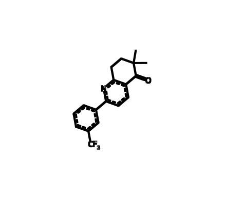 CC1(C)CCc2nc(-c3cccc(C(F)(F)F)c3)ccc2C1=O